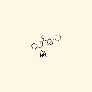 Cc1c(C2CN(C(=O)c3cc(C4CCCCC4)on3)Cc3ccccc32)cnn1C